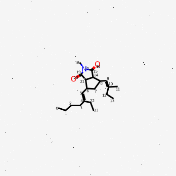 CCCC/C(=C/C1CC(/C=C(/C)CC)C2C(=O)N(C)C(=O)C12)CC